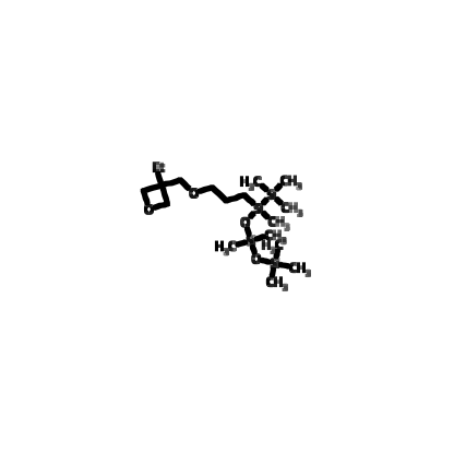 CCC1(COCCC[Si](C)(O[Si](C)(C)O[Si](C)(C)C)[Si](C)(C)C)COC1